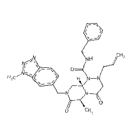 C=CCN1CC(=O)N2[C@@H](C)C(=O)N(Cc3ccc4nnn(C)c4c3)C[C@@H]2N1C(=O)NCc1ccccc1